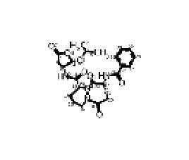 CC(C)O[C@H]1OC(=O)C[C@@H]1NC(=O)[C@@H]1CCCN2C(=O)CC[C@H](NC(=O)c3ccccc3)C(=O)N12